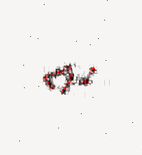 CCC1(Cn2ncc(-c3ccc(-c4ccc5c(c4)N(C(=O)Nc4nc6ccccc6s4)CCC5)nc3C(=O)O)c2C)CC2(C)CC(C)CC(OCCN(C)C(=O)OCc3ccc(O[C@H]4C[C@@H](O)C[C@@H](C(=O)O)O4)cc3OCCOCCNC(=O)[C@H](CS(=O)(=O)O)NC(=O)CCCCCN3C(=O)C=CC3=O)(C2)C1